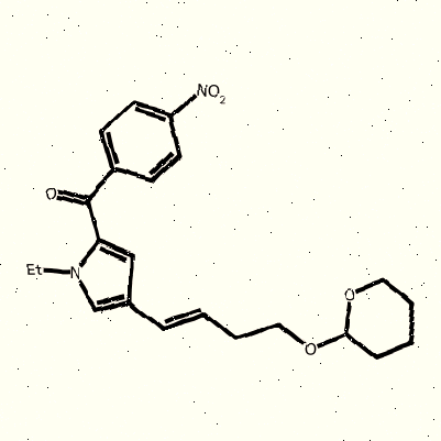 CCn1cc(C=CCCOC2CCCCO2)cc1C(=O)c1ccc([N+](=O)[O-])cc1